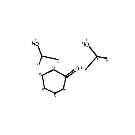 CC(C)O.CC(C)O.O=C1CCCCC1